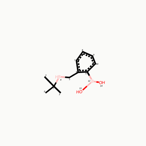 CC(C)(C)BCc1ccccc1B(O)O